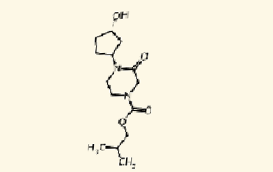 CC(C)COC(=O)N1CCN([C@H]2CC[C@H](O)C2)C(=O)C1